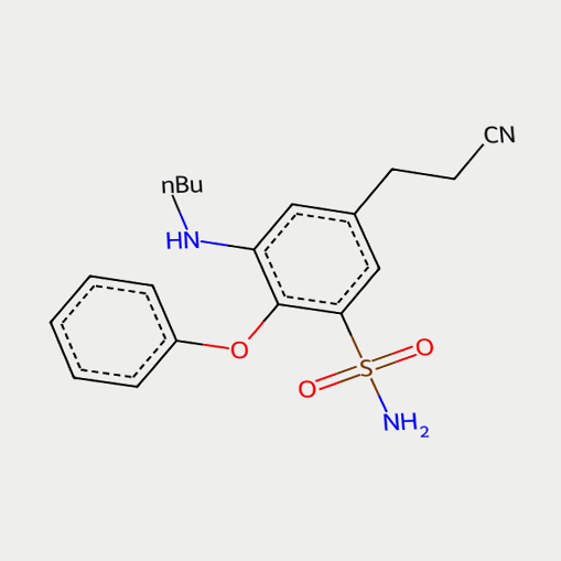 CCCCNc1cc(CCC#N)cc(S(N)(=O)=O)c1Oc1ccccc1